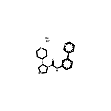 Cl.Cl.O=C(Nc1cccc(-c2cccnc2)c1)[C@H]1CNC[C@@H]1C1CCOCC1